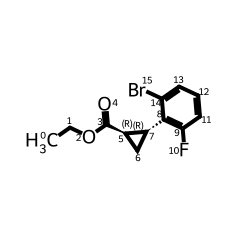 CCOC(=O)[C@@H]1C[C@H]1c1c(F)cccc1Br